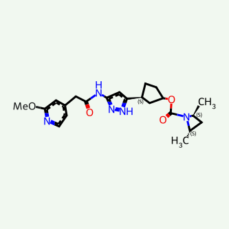 COc1cc(CC(=O)Nc2cc([C@H]3CCC(OC(=O)N4[C@@H](C)C[C@@H]4C)C3)[nH]n2)ccn1